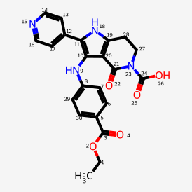 CCOC(=O)c1ccc(Nc2c(-c3ccncc3)[nH]c3c2C(=O)N(C(=O)O)CC3)cc1